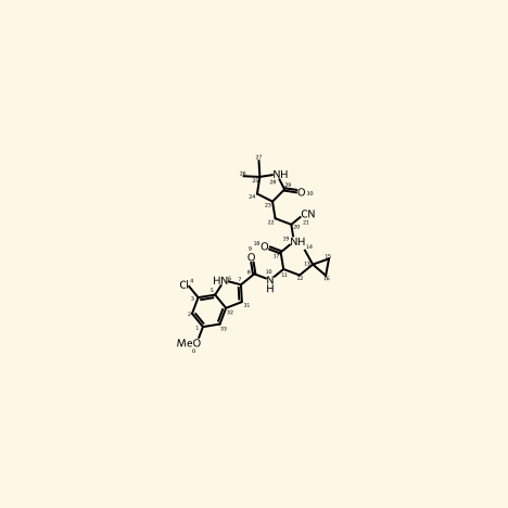 COc1cc(Cl)c2[nH]c(C(=O)NC(CC3(C)CC3)C(=O)NC(C#N)CC3CC(C)(C)NC3=O)cc2c1